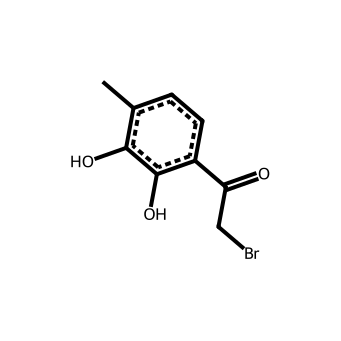 Cc1ccc(C(=O)CBr)c(O)c1O